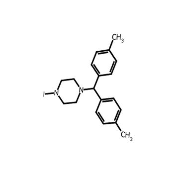 Cc1ccc(C(c2ccc(C)cc2)N2CCN(I)CC2)cc1